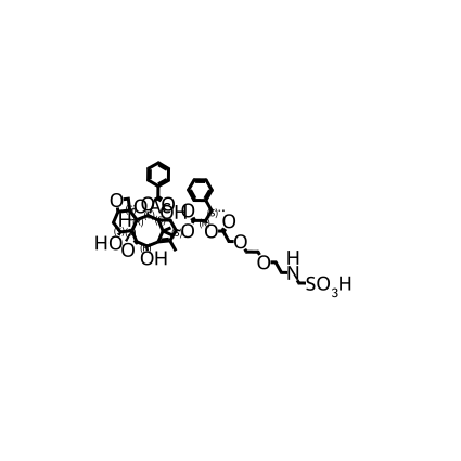 CC(=O)O[C@@]12COC1C[C@H](O)[C@@]1(C)C(=O)[C@H](O)C3=C(C)[C@@H](OC(=O)[C@H](OC(=O)COCCOCCNCS(=O)(=O)O)[C@@H](C)c4ccccc4)C[C@@](O)([C@@H](OC(=O)c4ccccc4)[C@@H]12)C3(C)C